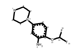 Nc1cc(N2CC[N]CC2)ccc1OC(F)F